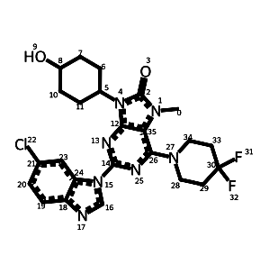 Cn1c(=O)n(C2CCC(O)CC2)c2nc(-n3cnc4ccc(Cl)cc43)nc(N3CCC(F)(F)CC3)c21